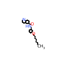 CC=CCCCCCOc1cccc(CNC(=O)c2ccc3ncccc3c2)c1